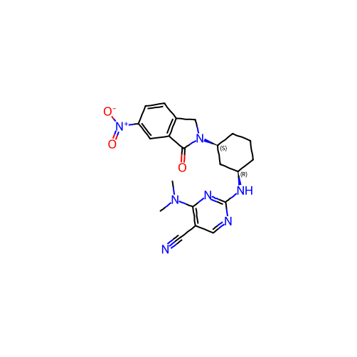 CN(C)c1nc(N[C@@H]2CCC[C@H](N3Cc4ccc([N+](=O)[O-])cc4C3=O)C2)ncc1C#N